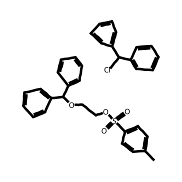 Cc1ccc(S(=O)(=O)OCCOC(c2ccccc2)c2ccccc2)cc1.ClC(c1ccccc1)c1ccccc1